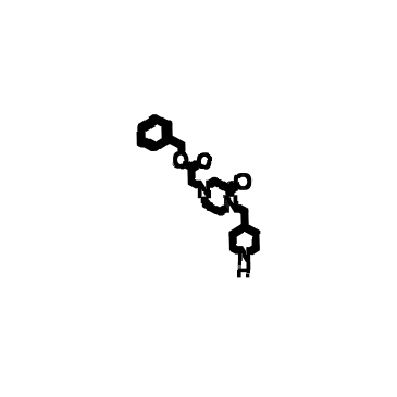 O=C(CN1CCN(CC2CCNCC2)C(=O)C1)OCc1ccccc1